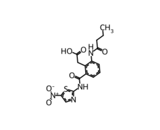 CCCC(=O)Nc1cccc(C(=O)Nc2ncc([N+](=O)[O-])s2)c1CC(=O)O